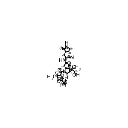 CC(C)(C)[C@H](NC(=O)C(F)(F)F)C(=O)N1CC2[C@@H]([C@H]1CC(=O)N[C@H](C#N)C[C@@H]1CCNC1=O)[C@]2(C)CO